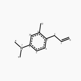 C=CCc1ccc(N(C)C)cc1C